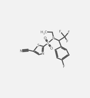 CCN(C(c1ccc(F)cc1)C(F)(F)F)S(=O)(=O)c1ncc(C#N)s1